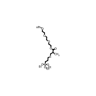 CCCOCCOCCOCCOC(=O)C(C)CSCCC[Si](OCC)(OCC)OCC